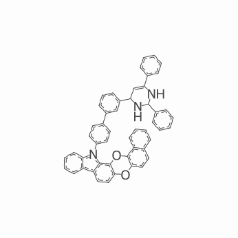 C1=C(c2ccccc2)NC(c2ccccc2)NC1c1cccc(-c2ccc(-n3c4ccccc4c4ccc5c(c43)Oc3c(ccc4ccccc34)O5)cc2)c1